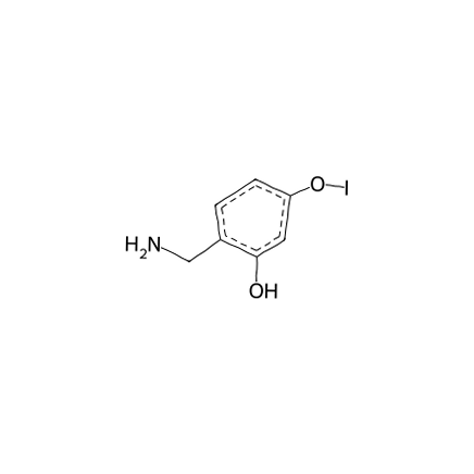 NCc1ccc(OI)cc1O